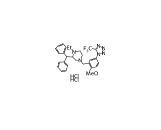 CCN1CCN(Cc2cc(-n3nnnc3C(F)(F)F)ccc2OC)CC1C(c1ccccc1)c1ccccc1.Cl.Cl